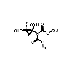 CC[C@@]1(C=O)C[C@@]1(C(=O)O)N(C(=O)OC(C)(C)C)C(=O)OC(C)(C)C